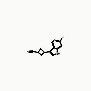 N#CC1CC(c2c[nH]c3cc(Cl)ncc23)C1